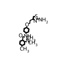 Cc1ccc(C(=O)Nc2ccc(OCCc3csc(N)n3)cc2)c(N(C)C)c1